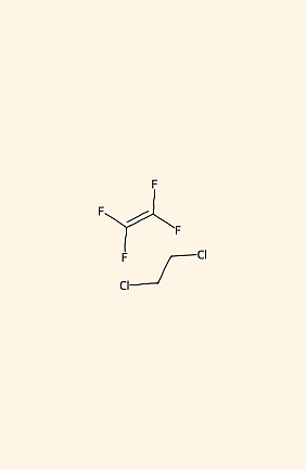 ClCCCl.FC(F)=C(F)F